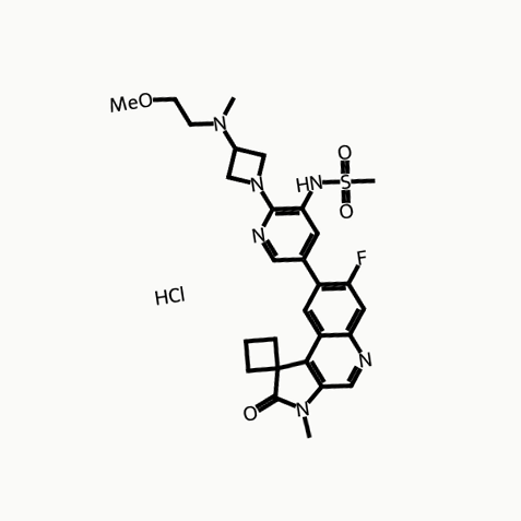 COCCN(C)C1CN(c2ncc(-c3cc4c5c(cnc4cc3F)N(C)C(=O)C53CCC3)cc2NS(C)(=O)=O)C1.Cl